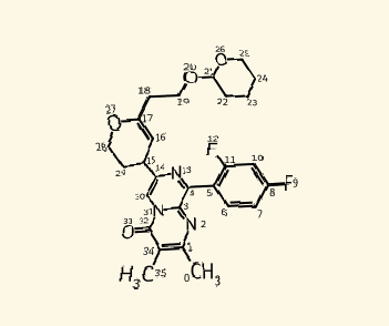 Cc1nc2c(-c3ccc(F)cc3F)nc(C3C=C(CCOC4CCCCO4)OCC3)cn2c(=O)c1C